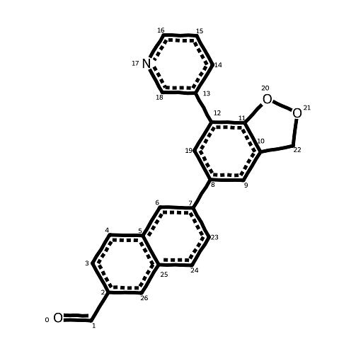 O=Cc1ccc2cc(-c3cc4c(c(-c5cccnc5)c3)OOC4)ccc2c1